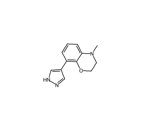 CN1CCOc2c(-c3cn[nH]c3)cccc21